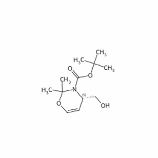 CC(C)(C)OC(=O)N1[C@H](CO)C=COC1(C)C